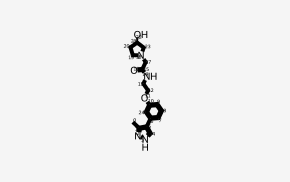 Cc1n[nH]cc1-c1c[c]cc(OCCNC(=O)CN2CC[C@@H](O)C2)c1